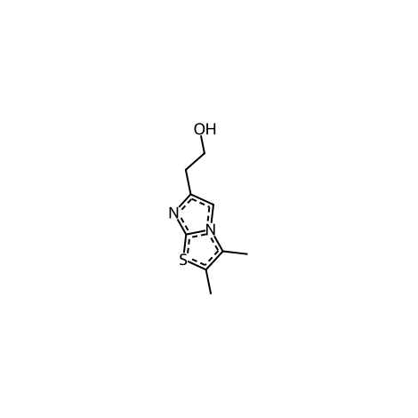 Cc1sc2nc(CCO)cn2c1C